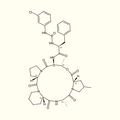 CC1C[C@H]2C(=O)O[C@@H](C)[C@H](NC(=O)[C@H](Cc3ccccc3)NC(=O)Nc3cccc(Cl)c3)C(=O)N3CCC[C@H]3C(=O)N3CCCC[C@H]3C(=O)N[C@@H](C)C(=O)N2C1